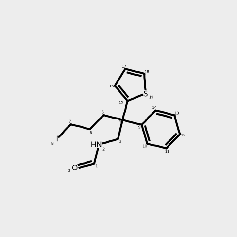 O=CNCC(CCCI)(c1ccccc1)c1cccs1